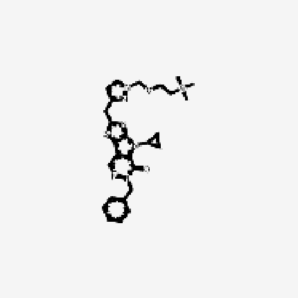 C[Si](C)(C)CCOCn1ccc(Cc2nc3c(s2)c2cnn(Cc4ccccc4)c(=O)c2n3C2CC2)n1